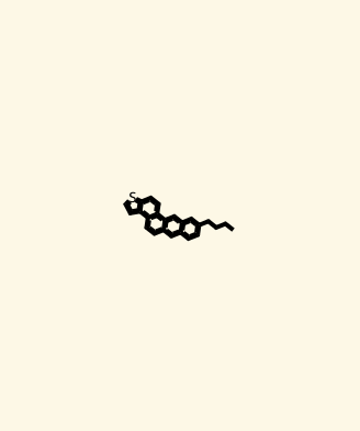 CCCCc1ccc2cc3ccc4c5ccsc5ccc4c3cc2c1